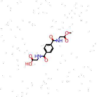 COC(=O)CNC(=O)c1ccc(C(=O)NCC(=O)O)cc1